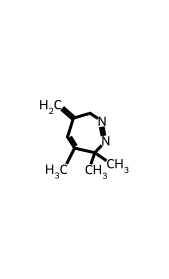 C=C1C=C(C)C(C)(C)N=NC1